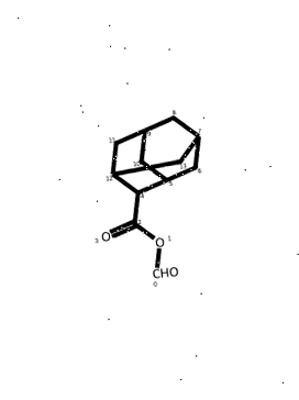 O=COC(=O)C1C2CC3CC(C2)CC1C3